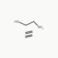 C=C.C=C.NCCO